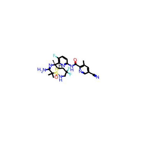 Cc1cc(C#N)cnc1C(=O)Nc1ccc(F)c([C@@]2(C)N=C(N)C(C)(C)[SH]3(=O)NCC(F)(F)C[C@@H]23)n1